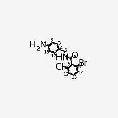 Nc1ccc(CNC(=O)c2c(Cl)cccc2Br)cc1